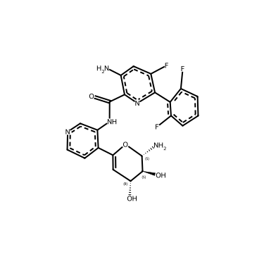 Nc1cc(F)c(-c2c(F)cccc2F)nc1C(=O)Nc1cnccc1C1=C[C@@H](O)[C@H](O)[C@@H](N)O1